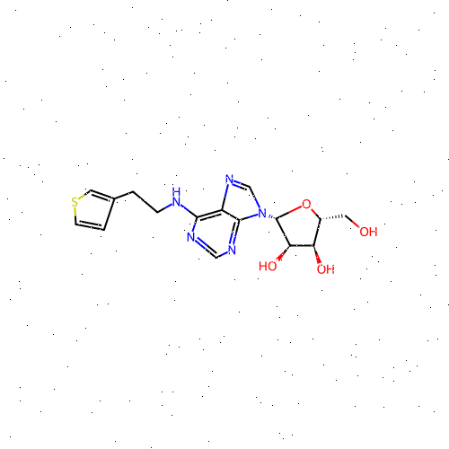 OC[C@H]1O[C@@H](n2cnc3c(NCCc4ccsc4)ncnc32)[C@H](O)[C@@H]1O